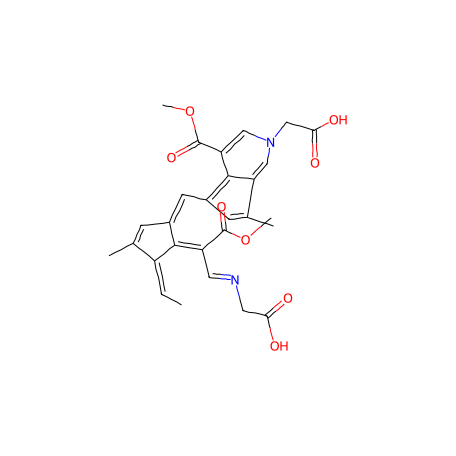 C/C=C1C(C)=CC(=C/c2cc(C)c3cn(CC(=O)O)cc(C(=O)OC)c2-3)/C/1=C(/C=N/CC(=O)O)C(=O)OC